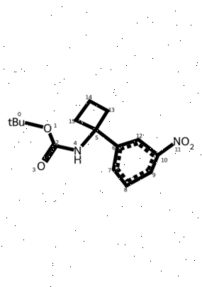 CC(C)(C)OC(=O)NC1(c2cccc([N+](=O)[O-])c2)CCC1